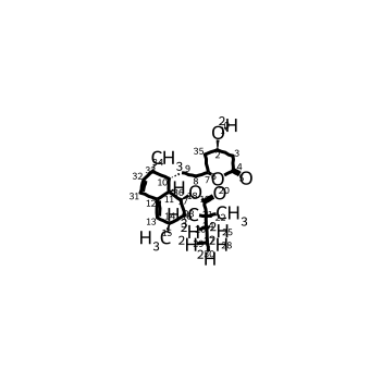 [2H]O[C@H]1CC(=O)OC(CC[C@@H]2[C@@H]3C(=C[C@H](C)C[C@@H]3OC(=O)C(C)(C)C([2H])([2H])C([2H])([2H])[2H])C=C[C@@H]2C)C1